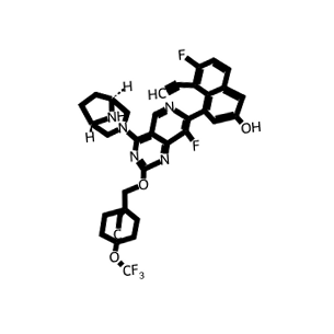 C#Cc1c(F)ccc2cc(O)cc(-c3ncc4c(N5C[C@H]6CC[C@@H](C5)N6)nc(OCC56CCC(OC(F)(F)F)(CC5)CC6)nc4c3F)c12